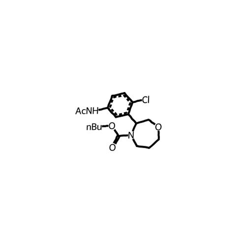 CCCCOC(=O)N1CCCOCC1c1cc(NC(C)=O)ccc1Cl